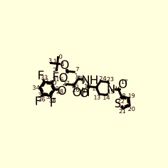 CC(C)(C)OC(=O)C[C@H](NC(=O)C1CCN(C(=O)c2cccs2)CC1)C(O)COc1c(F)c(F)cc(F)c1F